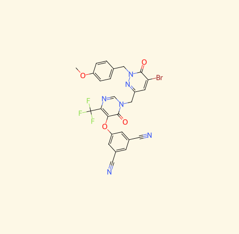 COc1ccc(Cn2nc(Cn3cnc(C(F)(F)F)c(Oc4cc(C#N)cc(C#N)c4)c3=O)cc(Br)c2=O)cc1